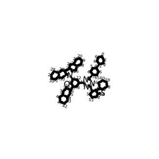 c1ccc(-c2ccc(-c3nc(-c4cc(-n5c6cc7ccccc7cc6c6cc7ccccc7cc65)c5oc6cc7ccccc7cc6c5c4)nc(-c4cccc5sc6ccccc6c45)n3)cc2)cc1